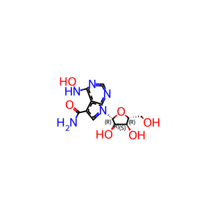 NC(=O)c1cn([C@@H]2O[C@H](CO)[C@@H](O)[C@H]2O)c2ncnc(NO)c12